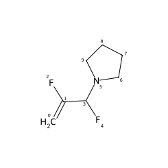 C=C(F)C(F)N1CCCC1